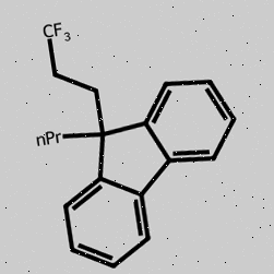 CCCC1(CCC(F)(F)F)c2ccccc2-c2ccccc21